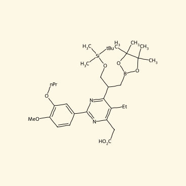 CCCOc1cc(-c2nc(CC(=O)O)c(CC)c(C(CO[Si](C)(C)C(C)(C)C)CB3OC(C)(C)C(C)(C)O3)n2)ccc1OC